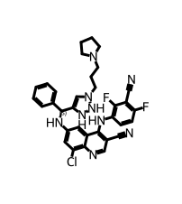 N#Cc1cnc2c(Cl)cc(N[C@H](C3=CN(CCCN4CCCC4)NN3)c3ccccc3)cc2c1Nc1ccc(F)c(C#N)c1F